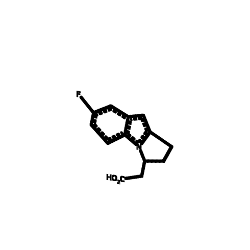 O=C(O)CC1CCc2cc3cc(F)ccc3n21